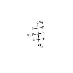 COC(F)(F)C(F)(F)C(F)(F)C(F)(F)F.F